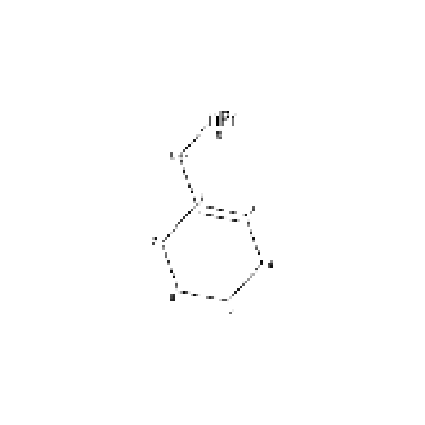 CCC[CH]C1=CCCCC1